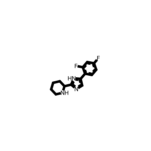 Fc1ccc(-c2cnc(C3CCCCN3)[nH]2)c(F)c1